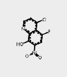 O=[N+]([O-])c1cc(F)c2c(Cl)ccnc2c1O